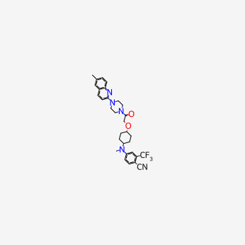 Cc1ccc2nc(N3CCN(C(=O)CO[C@H]4CC[C@H](N(C)c5ccc(C#N)c(C(F)(F)F)c5)CC4)CC3)ccc2c1